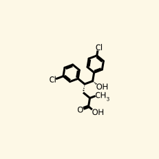 CC(C[C@H](c1cccc(Cl)c1)[C@@H](O)c1ccc(Cl)cc1)C(=O)O